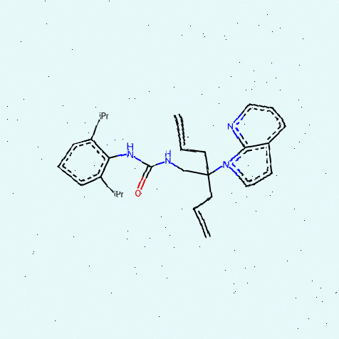 C=CCC(CC=C)(CNC(=O)Nc1c(C(C)C)cccc1C(C)C)n1ccc2cccnc21